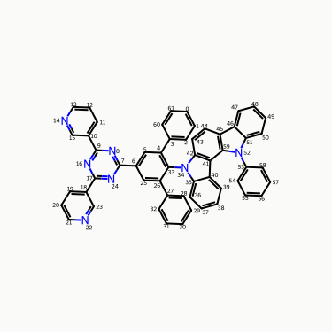 c1ccc(-c2cc(-c3nc(-c4cccnc4)nc(-c4cccnc4)n3)cc(-c3ccccc3)c2-n2c3ccccc3c3c2ccc2c4ccccc4n(-c4ccccc4)c23)cc1